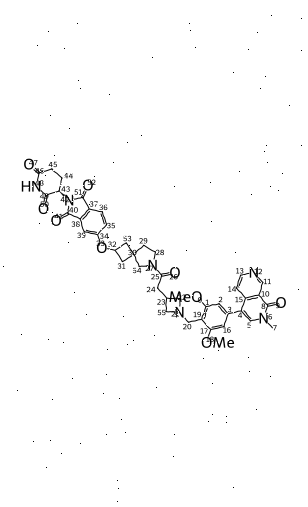 COc1cc(-c2cn(C)c(=O)c3cnccc23)cc(OC)c1CN1CC(CC(=O)N2CCC3(CC(Oc4ccc5c(c4)C(=O)N([C@@H]4CCC(=O)NC4=O)C5=O)C3)C2)C1